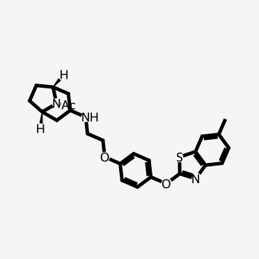 CC(=O)N1[C@@H]2CC[C@H]1CC(NCCOc1ccc(Oc3nc4ccc(C)cc4s3)cc1)C2